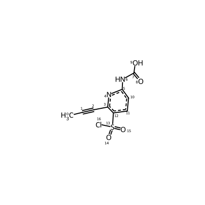 CC#Cc1nc(NC(=O)O)ccc1S(=O)(=O)Cl